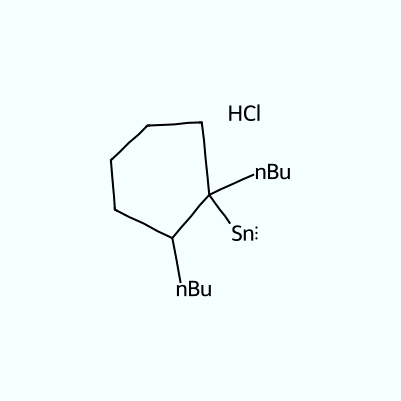 CCCCC1CCCC[C]1([Sn])CCCC.Cl